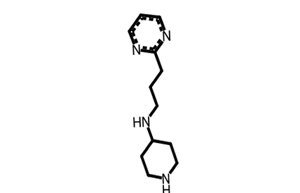 c1cnc(CCCNC2CCNCC2)nc1